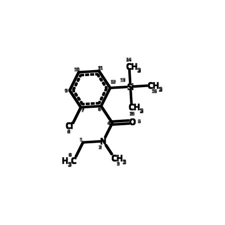 CCN(C)C(=O)c1c(Cl)cccc1[Si](C)(C)C